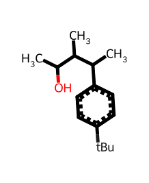 CC(O)C(C)C(C)c1ccc(C(C)(C)C)cc1